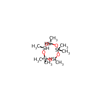 C[SiH]1O[SiH](C)O[Si](C)(C)O[SiH](C)O[Si](C)(C)O1